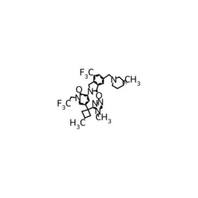 CC1CC(c2cc(N3Cc4c(cc(CN5CCC[C@H](C)C5)cc4C(F)(F)F)C3=O)c(=O)n(CC(F)(F)F)c2)(c2nncn2C)C1